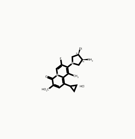 CC[C@@H]1CN(c2c(F)cn3c(=O)c(C(=O)O)cc(C4CC4)c3c2C)C[C@@H]1N.Cl